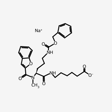 CN(C(=O)c1cc2ccccc2o1)[C@@H](CCCNC(=O)OCc1ccccc1)C(=O)NCCCCCC(=O)[O-].[Na+]